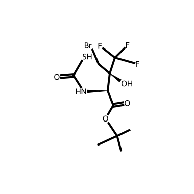 CC(C)(C)OC(=O)[C@@H](NC(=O)S)[C@](O)(CBr)C(F)(F)F